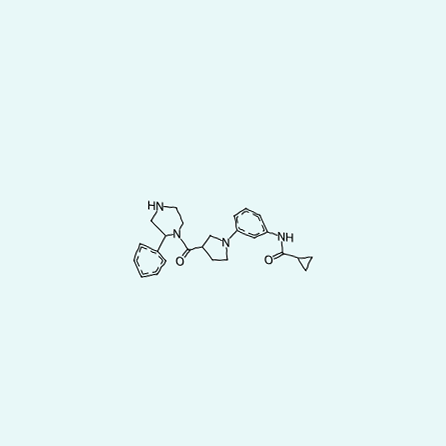 O=C(Nc1cccc(N2CCC(C(=O)N3CCNCC3c3ccccc3)C2)c1)C1CC1